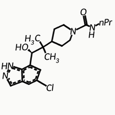 CCCNC(=O)N1CCC(C(C)(C)[C@H](O)c2cc(Cl)cc3cn[nH]c23)CC1